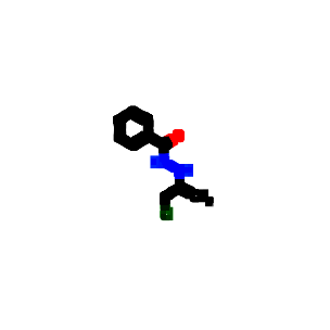 C=C(CCl)NNC(=O)c1ccccc1